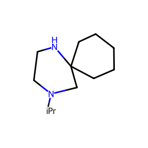 CC(C)N1CCNC2(CCCCC2)C1